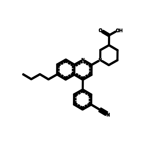 CCCCc1ccc2nc(N3CCCC(C(=O)O)C3)cc(-c3cccc(C#N)c3)c2c1